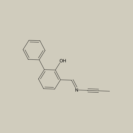 CC#CN=Cc1cccc(-c2ccccc2)c1O